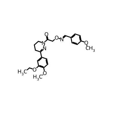 CCOc1cc(C2=NN(C(=O)CON=Cc3ccc(OC)cc3)CCC2)ccc1OC